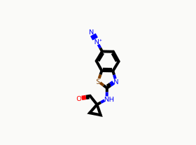 N#[N+]c1ccc2nc(NC3(C=O)CC3)sc2c1